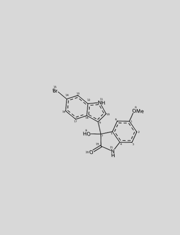 COc1ccc2c(c1)C(O)(c1c[nH]c3cc(Br)ccc13)C(=O)N2